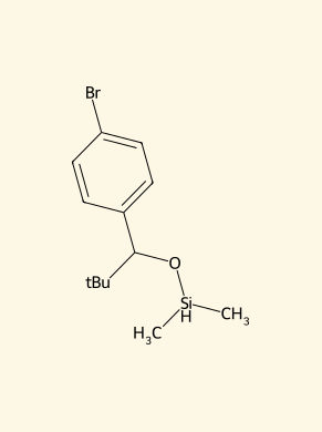 C[SiH](C)OC(c1ccc(Br)cc1)C(C)(C)C